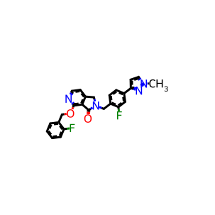 Cn1ccc(-c2ccc(CN3Cc4ccnc(OCc5ccccc5F)c4C3=O)c(F)c2)n1